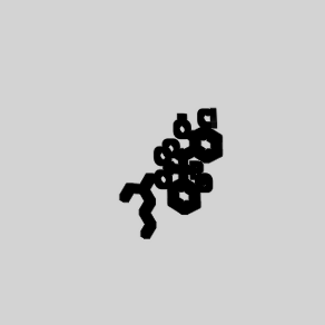 CCCCC(CC)COC(=O)C(P=O)(C(=O)c1cccc(Cl)c1OC)c1ccccc1